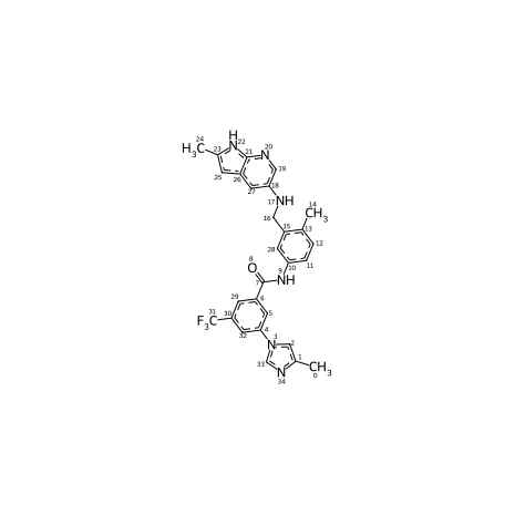 Cc1cn(-c2cc(C(=O)Nc3ccc(C)c(CNc4cnc5[nH]c(C)cc5c4)c3)cc(C(F)(F)F)c2)cn1